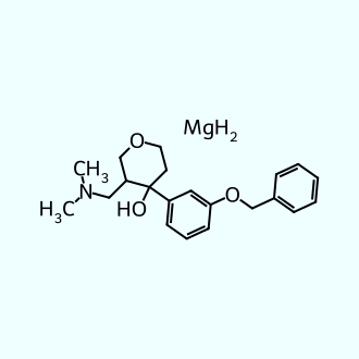 CN(C)CC1COCCC1(O)c1cccc(OCc2ccccc2)c1.[MgH2]